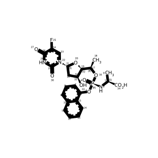 C[C@H](N[P@](=O)(Oc1cccc2ccccc12)O[C@H](C)[C@H]1O[C@@H](n2cc(F)c(=O)[nH]c2=O)C[C@@H]1O)C(=O)O